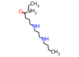 CCCCNCCCNCCCC(=O)[SiH2]CC